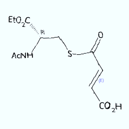 CCOC(=O)[C@H](CSC(=O)/C=C/C(=O)O)NC(C)=O